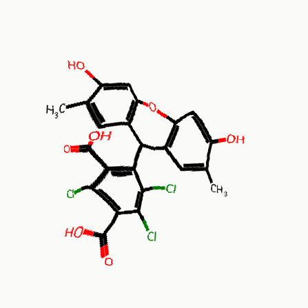 Cc1cc2c(cc1O)Oc1cc(O)c(C)cc1C2c1c(Cl)c(Cl)c(C(=O)O)c(Cl)c1C(=O)O